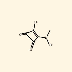 CCc1c(N(C)C(C)C)c(=O)c1=O